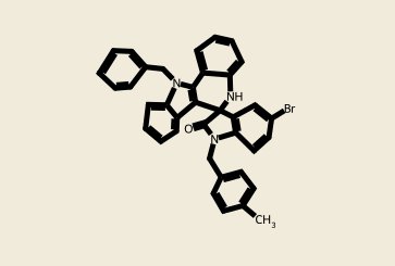 Cc1ccc(CN2C(=O)C3(Nc4ccccc4-c4c3c3ccccc3n4Cc3ccccc3)c3cc(Br)ccc32)cc1